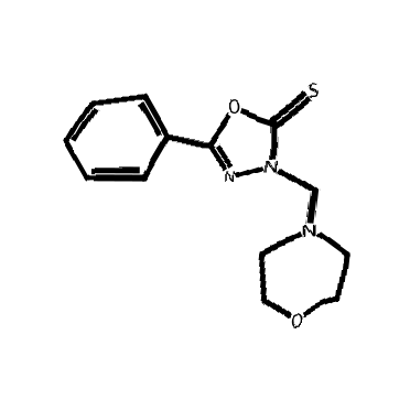 S=c1oc(-c2ccccc2)nn1CN1CCOCC1